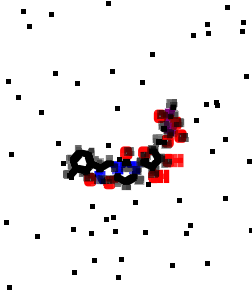 Cc1cccc2c(Cn3c(=O)ccn([C@@H]4O[C@H](COP(C)(=O)O[PH](C)=O)[C@H](O)C4O)c3=O)noc12